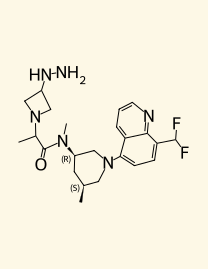 CC(C(=O)N(C)[C@@H]1C[C@H](C)CN(c2ccc(C(F)F)c3ncccc23)C1)N1CC(NN)C1